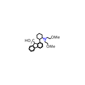 COCCN(CCOC)C1CCCCC1c1cccc2c1C(C(=O)O)c1ccccc1-2